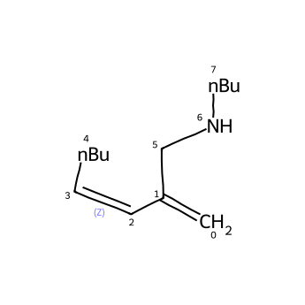 C=C(/C=C\CCCC)CNCCCC